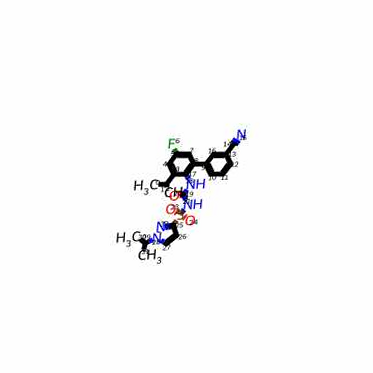 CC(C)c1cc(F)cc(-c2cccc(C#N)c2)c1NC(=O)NS(=O)(=O)c1ccn(C(C)C)n1